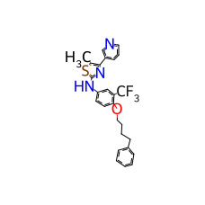 Cc1sc(Nc2ccc(OCCCCc3ccccc3)c(C(F)(F)F)c2)nc1-c1cccnc1